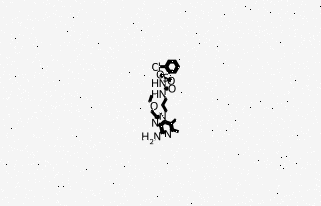 CCOCc1nc2c(N)nc(C)c(C)c2n1CCCNC(=O)NS(=O)(=O)c1ccccc1Cl